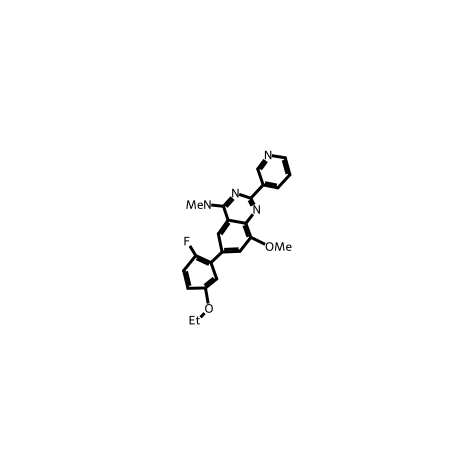 CCOc1ccc(F)c(-c2cc(OC)c3nc(-c4cccnc4)nc(NC)c3c2)c1